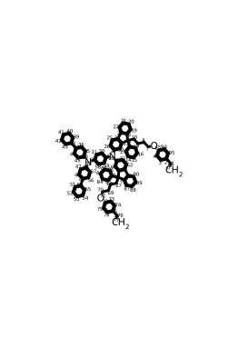 C=Cc1ccc(OCCCCC2(c3ccccc3)c3ccccc3-c3ccc(N(c4ccc(N(c5ccc(-c6ccccc6)cc5)c5ccc(-c6ccccc6)cc5)cc4)c4ccc5c(c4)C(CCCCOc4ccc(C=C)cc4)(c4ccccc4)c4ccccc4-5)cc32)cc1